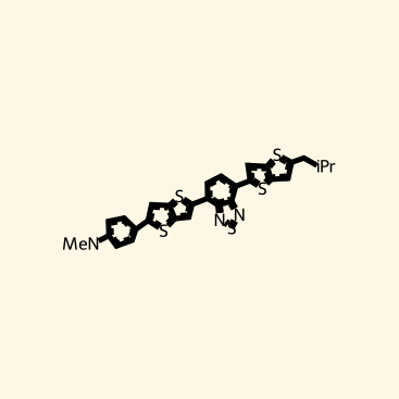 CNc1ccc(-c2cc3sc(-c4ccc(-c5cc6sc(CC(C)C)cc6s5)c5nsnc45)cc3s2)cc1